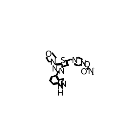 CN(C)C(=O)ON1CCN(Cc2cc3nc(-c4cccc5[nH]ncc45)nc(N4CCOCC4)c3s2)CC1